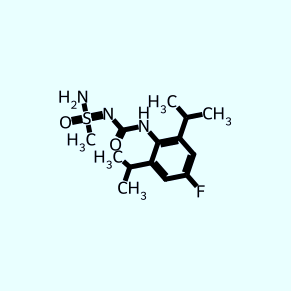 CC(C)c1cc(F)cc(C(C)C)c1NC(=O)N=S(C)(N)=O